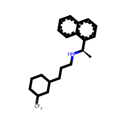 C[C@@H](NCCCC1CCCC(C(F)(F)F)C1)c1cccc2ccccc12